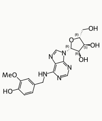 COc1cc(CNc2ncnc3c2ncn3[C@@H]2O[C@H](CO)[C@@H](O)[C@H]2O)ccc1O